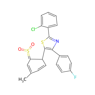 CC1=CC(=S(=O)=O)C(c2sc(-c3ccccc3Cl)nc2-c2ccc(F)cc2)C=C1